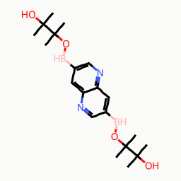 CC(C)(O)C(C)(C)OBc1cnc2cc(BOC(C)(C)C(C)(C)O)cnc2c1